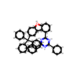 c1ccc(-c2nc(-c3ccccc3)nc(-c3cccc4oc5ccc(C6(c7ccccc7)c7ccccc7-c7ccccc76)cc5c34)n2)cc1